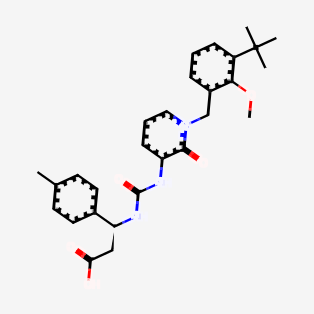 COc1c(Cn2cccc(NC(=O)N[C@@H](CC(=O)O)c3ccc(C)cc3)c2=O)cccc1C(C)(C)C